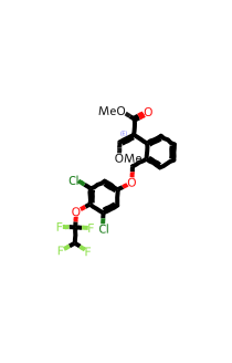 CO/C=C(/C(=O)OC)c1ccccc1COc1cc(Cl)c(OC(F)(F)C(F)F)c(Cl)c1